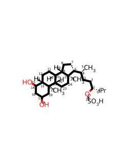 CC(C)[C@@H](CC[C@@H](C)[C@H]1CC[C@H]2[C@@H]3CC[C@H]4C(O)CC(O)C[C@]4(C)[C@H]3CC[C@]12C)OS(=O)(=O)O